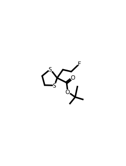 CC(C)(C)OC(=O)C1(CCF)SCCS1